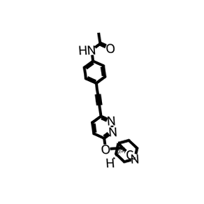 CC(=O)Nc1ccc(C#Cc2ccc(O[C@@H]3CN4CCC3CC4)nn2)cc1